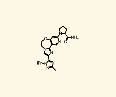 Cc1nc(-c2cn3c(n2)-c2cnc(N4CCC[C@H]4C(N)=O)cc2OCC3)n(C(C)C)n1